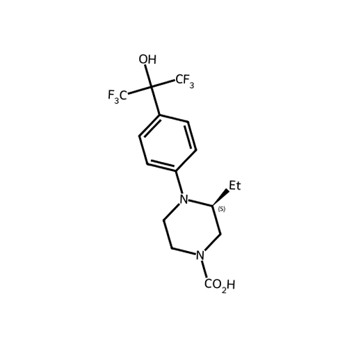 CC[C@H]1CN(C(=O)O)CCN1c1ccc(C(O)(C(F)(F)F)C(F)(F)F)cc1